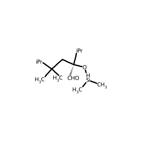 CC(C)C(C)(C)C[C@](C=O)(O[SiH](C)C)C(C)C